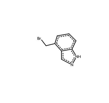 BrCc1cccc2[nH]ncc12